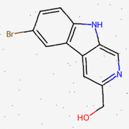 OCc1cc2c(cn1)[nH]c1ccc(Br)cc12